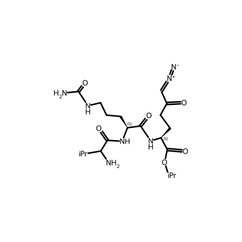 CC(C)OC(=O)[C@H](CCC(=O)C=[N+]=[N-])NC(=O)[C@H](CCCNC(N)=O)NC(=O)C(N)C(C)C